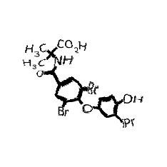 CC(C)c1cc(Oc2c(Br)cc(C(=O)NC(C)(C)C(=O)O)cc2Br)ccc1O